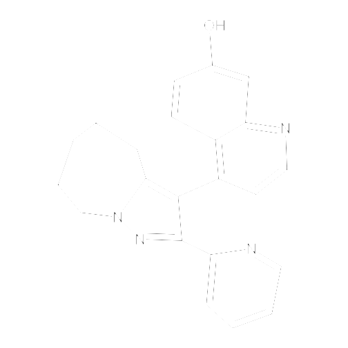 Oc1ccc2c(-c3c(-c4ccccn4)nn4c3CCCCC4)ccnc2c1